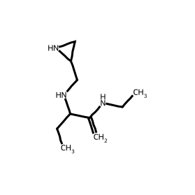 C=C(NCC)C(CC)NCC1CN1